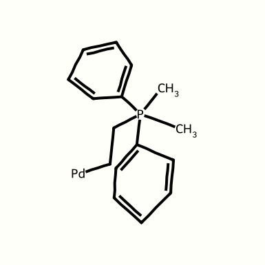 CP(C)(C[CH2][Pd])(c1ccccc1)c1ccccc1